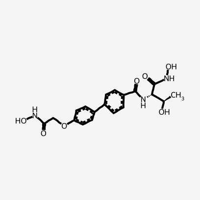 C[C@@H](O)[C@H](NC(=O)c1ccc(-c2ccc(OCC(=O)NO)cc2)cc1)C(=O)NO